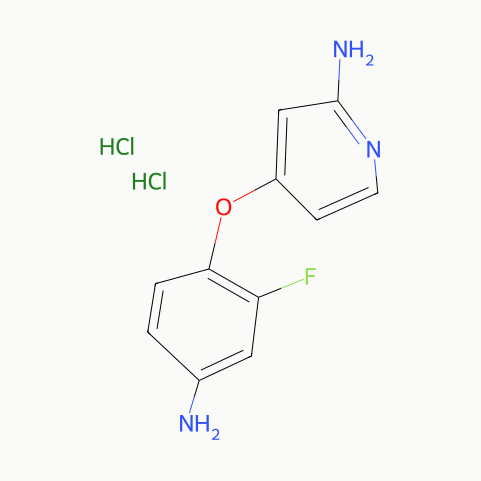 Cl.Cl.Nc1ccc(Oc2ccnc(N)c2)c(F)c1